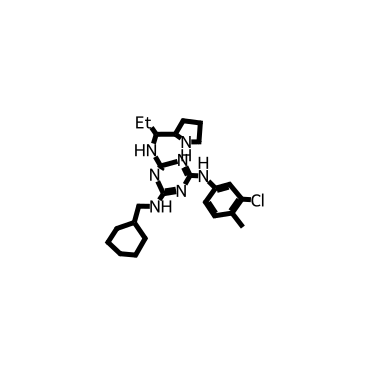 CCC(Nc1nc(NCC2CCCCC2)nc(Nc2ccc(C)c(Cl)c2)n1)C1CCCN1